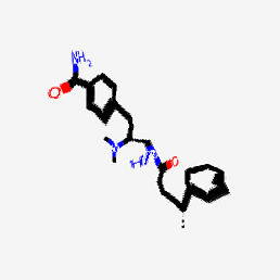 C[C@H](CC(=O)NC[C@H](Cc1ccc(C(N)=O)cc1)N(C)C)c1ccccc1